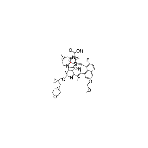 COCOc1cc(-c2ncc3c(N4CCN(C)C[C@@H](NC(=O)O)C4)nc(OCC4(CN5CCOCC5)CC4)nc3c2F)c2c(C#C[Si](C(C)C)(C(C)C)C(C)C)c(F)ccc2c1